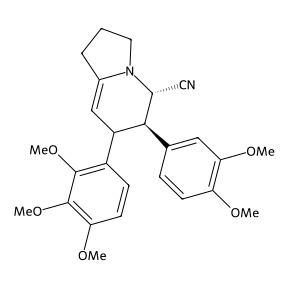 COc1ccc([C@H]2C(c3ccc(OC)c(OC)c3OC)C=C3CCCN3[C@@H]2C#N)cc1OC